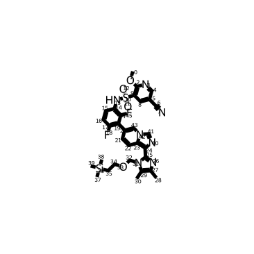 COc1ncc(C#N)cc1S(=O)(=O)Nc1ccc(F)c(-c2ccc3c(-c4nc(C)c(C)n4COCC[Si](C)(C)C)ncn3c2)c1F